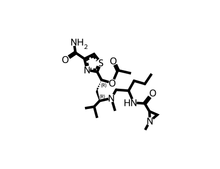 CCCC(CN(C)[C@H](C[C@@H](OC(C)=O)c1nc(C(N)=O)cs1)C(C)C)NC(=O)C1CN1C